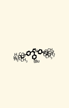 CC(C)(C)c1ccc(-c2c(-c3ccc(B4CC(C)(C)C(C)(C)O4)cc3)ccn2-c2ccc(B3OC(C)(C)C(C)(C)O3)cc2)cc1